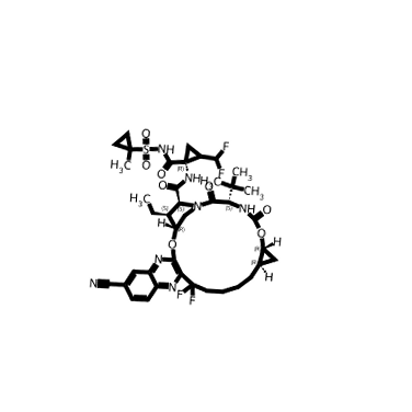 CC[C@@H]1[C@@H]2CN(C(=O)[C@H](C(C)(C)C)NC(=O)O[C@@H]3C[C@H]3CCCCC(F)(F)c3nc4ccc(C#N)cc4nc3O2)[C@@H]1C(=O)N[C@]1(C(=O)NS(=O)(=O)C2(C)CC2)CC1C(F)F